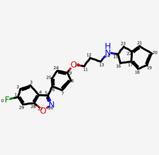 Fc1ccc2c(-c3ccc(OCCCNC4Cc5ccccc5C4)cc3)noc2c1